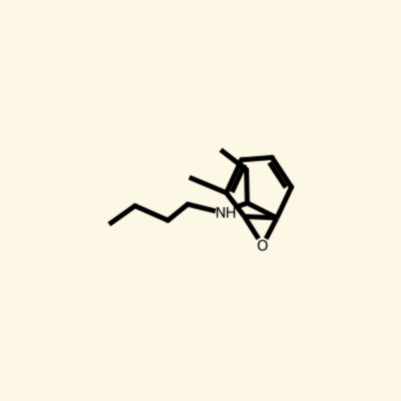 CCCCNC(CC)C12C=CC=C(C)C1O2